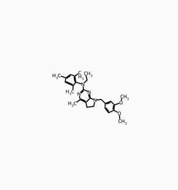 CCN(c1nc(C)c2c(n1)N(Cc1ccc(OC)c(OC)c1)CC2)c1c(C)cc(C)cc1C